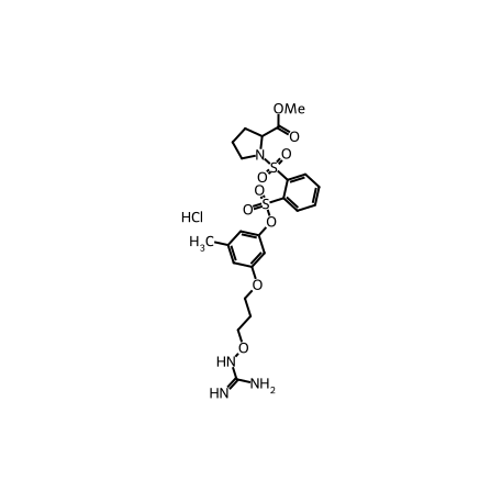 COC(=O)C1CCCN1S(=O)(=O)c1ccccc1S(=O)(=O)Oc1cc(C)cc(OCCCONC(=N)N)c1.Cl